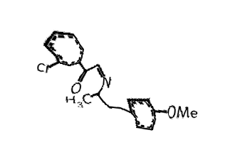 COc1ccc(CC(C)/N=C\C(=O)c2ccccc2Cl)cc1